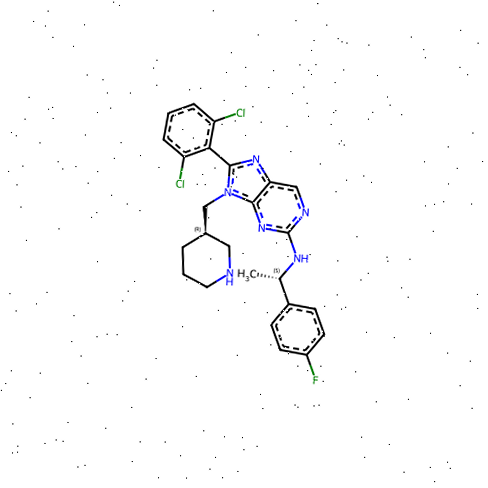 C[C@H](Nc1ncc2nc(-c3c(Cl)cccc3Cl)n(C[C@@H]3CCCNC3)c2n1)c1ccc(F)cc1